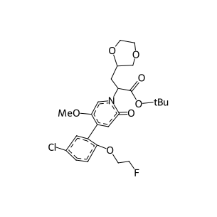 COc1cn(C(CC2COCCO2)C(=O)OC(C)(C)C)c(=O)cc1-c1cc(Cl)ccc1OCCF